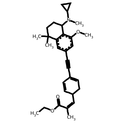 CCOC(=O)C(C)=CC1C=CC(C#Cc2cc(OC)c3c(c2)C(C)(C)CCC3N(C)C2CC2)=CC1